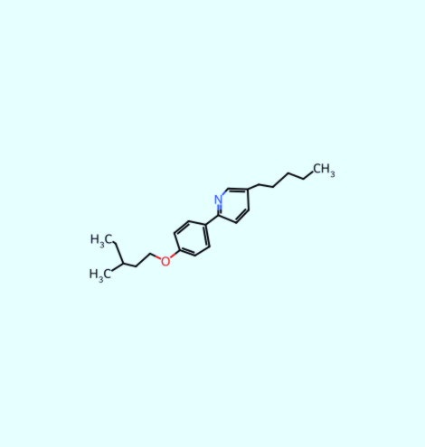 CCCCCc1ccc(-c2ccc(OCCC(C)CC)cc2)nc1